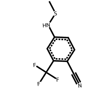 CSNc1ccc(C#N)c(C(F)(F)F)c1